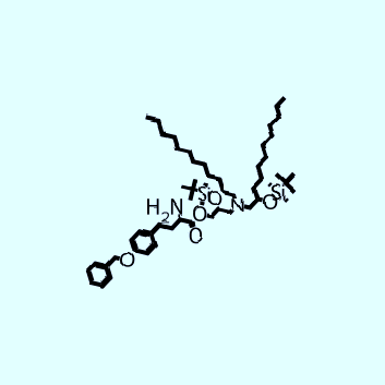 CCCCCCCCCCC(CN(CCCOC(=O)[C@@H](N)CCc1ccc(OCc2ccccc2)cc1)CC(CCCCCCCCCC)O[Si](C)(C)C(C)(C)C)O[Si](C)(C)C(C)(C)C